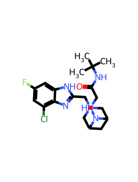 CC(C)(C)NC(=O)CNN1C2CC1CN(Cc1nc3c(Cl)cc(F)cc3[nH]1)C2